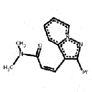 CC(C)c1nn2ccccc2c1/C=C\C(=O)N(C)C